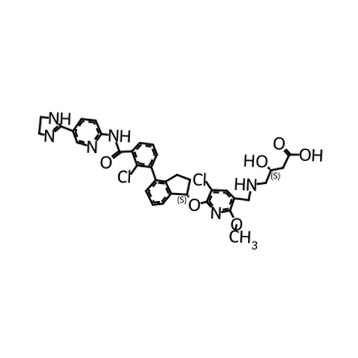 COc1nc(O[C@H]2CCc3c(-c4cccc(C(=O)Nc5ccc(C6=NCCN6)cn5)c4Cl)cccc32)c(Cl)cc1CNC[C@@H](O)CC(=O)O